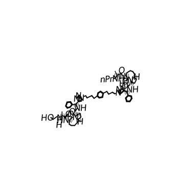 CCCN[C@@H](C)C(=O)N[C@H]1CCCC[C@H]2CC[C@@H](C(=O)N[C@H](c3ccccc3)c3cn(CCCCc4ccc(CCCCn5cc([C@H](NC(=O)[C@@H]6CC[C@@H]7CCCC[C@H](NC(=O)[C@H](C)NCCO)C(=O)N76)c6ccccc6)nn5)cc4)nn3)N2C1=O